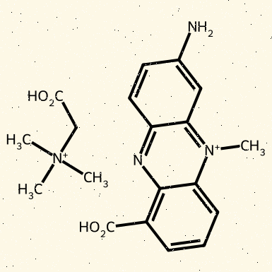 C[N+](C)(C)CC(=O)O.C[n+]1c2cc(N)ccc2nc2c(C(=O)O)cccc21